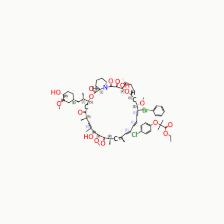 Brc1ccccc1.CCOC(=O)C(C)(C)Oc1ccc(Cl)cc1.CO[C@H]1C[C@@H]2CC[C@@H](C)[C@@](O)(O2)C(=O)C(=O)N2CCCC[C@H]2C(=O)O[C@H]([C@H](C)C[C@@H]2CC[C@@H](O)[C@H](OC)C2)CC(=O)[C@H](C)/C=C(\C)[C@@H](O)[C@@H](OC)C(=O)[C@H](C)C[C@H](C)/C=C/C=C/C=C/1C